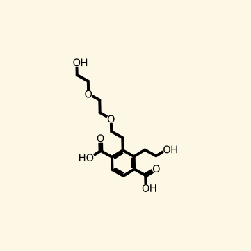 O=C(O)c1ccc(C(=O)O)c(CCOCCOCCO)c1CCO